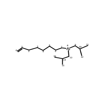 C=CCCCCC[CH2][Al]([CH2]C(C)C)[CH2]C(C)C